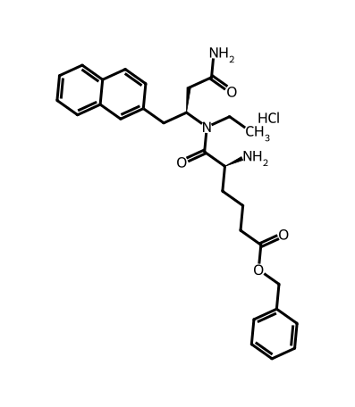 CCN(C(=O)[C@@H](N)CCCC(=O)OCc1ccccc1)[C@H](CC(N)=O)Cc1ccc2ccccc2c1.Cl